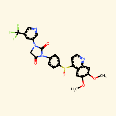 COc1cc2nccc([S+]([O-])c3ccc(N4C(=O)CN(c5cncc(C(F)(F)F)c5)C4=O)cc3)c2cc1OC